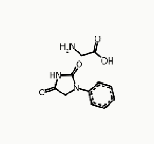 NCC(=O)O.O=C1CN(c2ccccc2)C(=O)N1